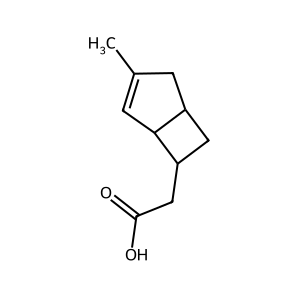 CC1=CC2C(CC(=O)O)CC2C1